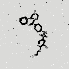 NCCSc1ncc(S(=O)(=O)N[C@H]2CC[C@H](C(=O)N3CCNC[C@@H]3c3ccccc3)CC2)cc1Br